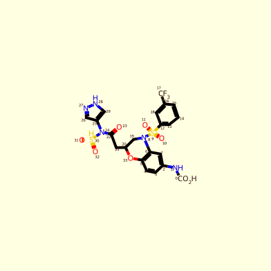 O=C(O)Nc1ccc2c(c1)N(S(=O)(=O)c1cccc(C(F)(F)F)c1)CC(CC(=O)N(c1cn[nH]c1)[SH](=O)=O)O2